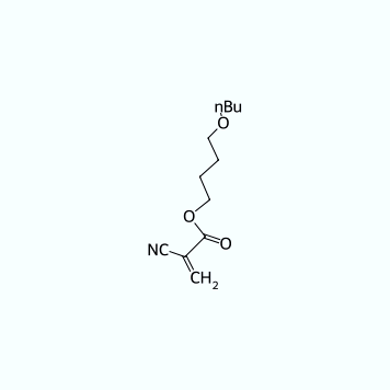 C=C(C#N)C(=O)OCCCCOCCCC